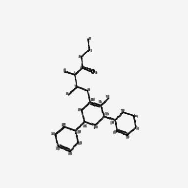 CCCC(=O)C(C)C(C)CC1=C(C)C(C2C=CCCC2)CC(C2CC=CCC2)C1